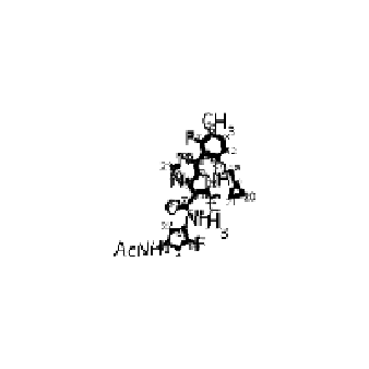 CC(=O)NC1CC(F)C(NC(=O)c2c(C)[nH]c3c(-c4c(OCC5CC5)ccc(C)c4F)ncnc23)C1